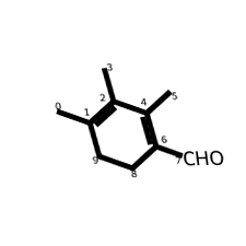 CC1=C(C)C(C)=C(C=O)CC1